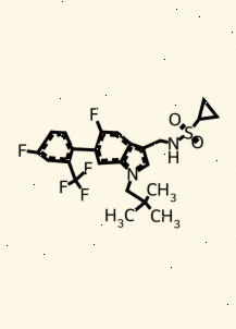 CC(C)(C)Cn1cc(CNS(=O)(=O)C2CC2)c2cc(F)c(-c3ccc(F)cc3C(F)(F)F)cc21